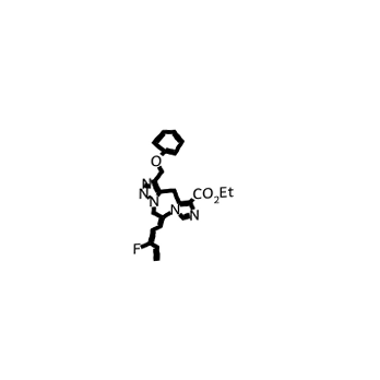 C=C/C(F)=C\C=C1/Cn2nnc(COc3ccccc3)c2Cc2c(C(=O)OCC)ncn21